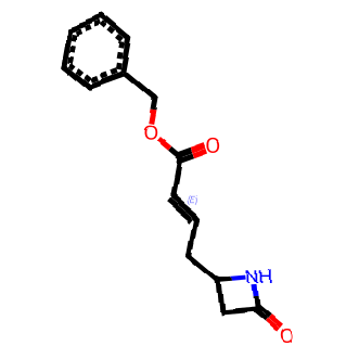 O=C1CC(C/C=C/C(=O)OCc2ccccc2)N1